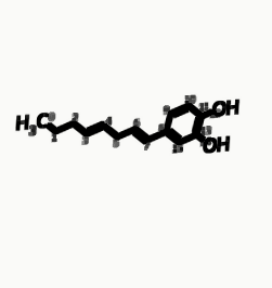 CCCC=CCC=Cc1ccc(O)c(O)c1